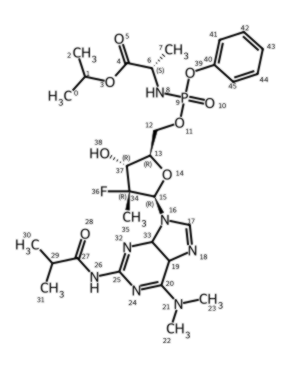 CC(C)OC(=O)[C@H](C)NP(=O)(OC[C@H]1O[C@@H](N2C=NC3C(N(C)C)=NC(NC(=O)C(C)C)=NC32)[C@](C)(F)[C@@H]1O)Oc1ccccc1